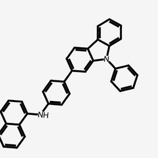 c1ccc(-n2c3ccccc3c3ccc(-c4ccc(Nc5cccc6ccccc56)cc4)cc32)cc1